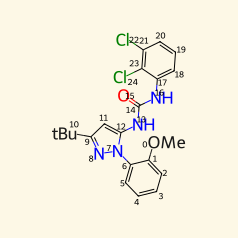 COc1ccccc1-n1nc(C(C)(C)C)cc1NC(=O)Nc1cccc(Cl)c1Cl